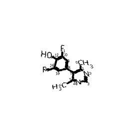 Cc1ncnc(C)c1-c1cc(F)c(O)c(F)c1